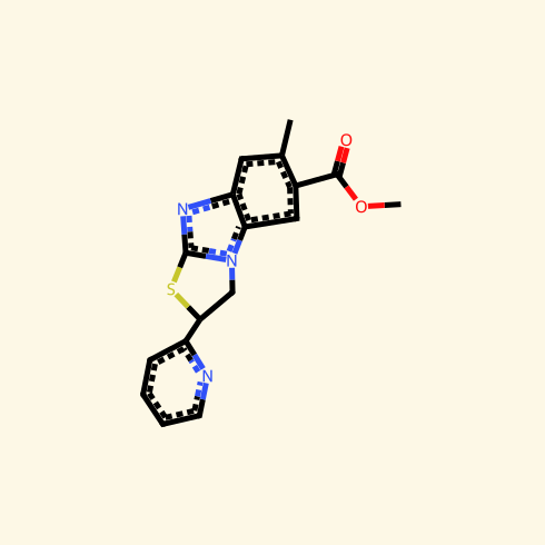 COC(=O)c1cc2c(cc1C)nc1n2CC(c2ccccn2)S1